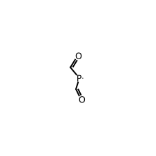 O=C[P]C=O